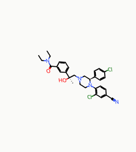 CCN(CC)C(=O)c1cccc([C@](C)(O)CN2CCN(c3ccc(C#N)cc3Cl)[C@H](c3ccc(Cl)cc3)C2)c1